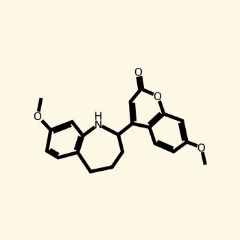 COc1ccc2c(c1)NC(c1cc(=O)oc3cc(OC)ccc13)CCC2